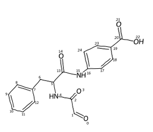 O=CC(=O)NC(Cc1ccccc1)C(=O)Nc1ccc(C(=O)O)cc1